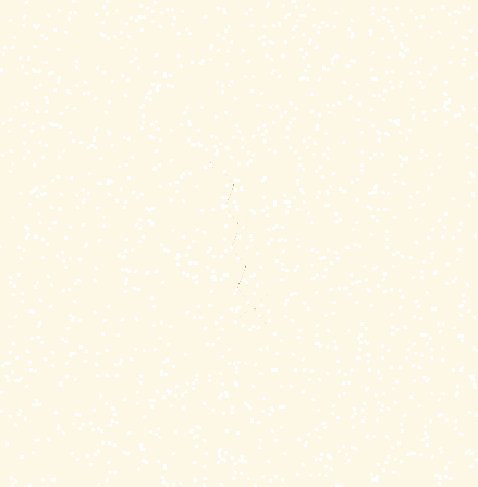 CC(=O)CCNCCC[Si](C)(C)C